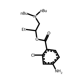 CCCCN(CCCC)CC(CC)OC(=O)c1ccc(N)cc1Cl